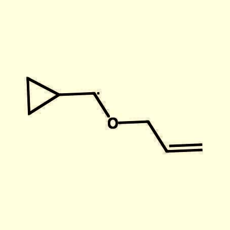 C=CCO[CH]C1CC1